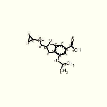 CC(C)Oc1cc(C(=O)O)cc2c1CC(CNC1CC1)O2